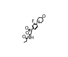 CCC(=O)N[C@@H]1CN(c2ccc(N3CCC(=O)CC3)c(F)c2)C(=O)O1